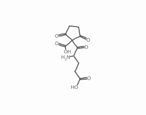 NC(CCC(=O)O)C(=O)C1(C(=O)O)C(=O)CCC1=O